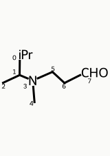 CC(C)C(C)N(C)CCC=O